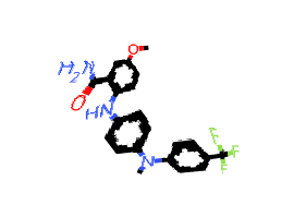 COc1ccc(Nc2ccc(N(C)c3ccc(C(F)(F)F)cc3)cc2)c(C(N)=O)c1